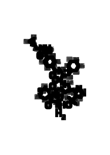 CC(C)(O)c1cnnn1[C@H]1C[C@@H](C(=O)NC2(C(=O)C(N)=O)CCSCC2)N(C(=O)[C@@H](CC2CCCCC2)NC(=O)c2ccc(S(=O)(=O)NCC3CC3)cc2)C1